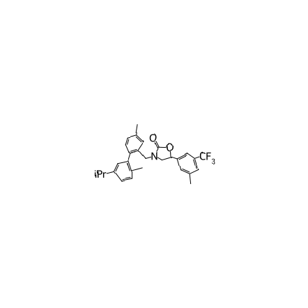 Cc1cc(C2CN(Cc3cc(C)ccc3-c3cc(C(C)C)ccc3C)C(=O)O2)cc(C(F)(F)F)c1